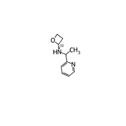 CC(N[C@@H]1CCO1)c1ccccn1